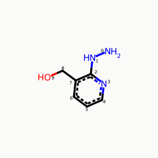 NNc1ncccc1CO